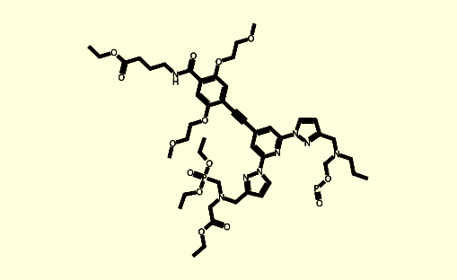 CCCN(COP=O)Cc1ccn(-c2cc(C#Cc3cc(OCCOC)c(C(=O)NCCCC(=O)OCC)cc3OCCOC)cc(-n3ccc(CN(CC(=O)OCC)CP(=O)(OCC)OCC)n3)n2)n1